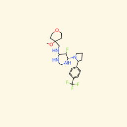 COC1(CNC2NCNC(N3CCCC3c3ccc(C(F)(F)F)cc3)C2F)CCOCC1